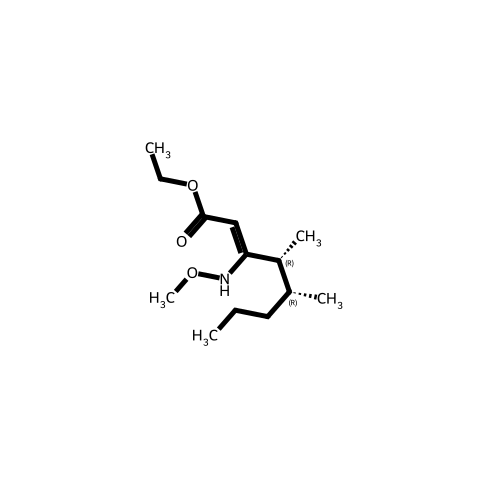 CCC[C@@H](C)[C@@H](C)C(=CC(=O)OCC)NOC